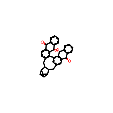 O=C1c2ccccc2C(=O)c2c1cc1cc2-c2c(ccc3c2C(=O)c2ccccc2C3=O)CC2C3C=CC(C3)C2C1